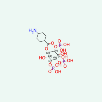 NC1CCC(C(=O)O[C@H]2[C@@H](O)[C@H](OP(=O)(O)O)[C@@H](OP(=O)(O)O)[C@H](O)[C@H]2OP(=O)(O)O)CC1